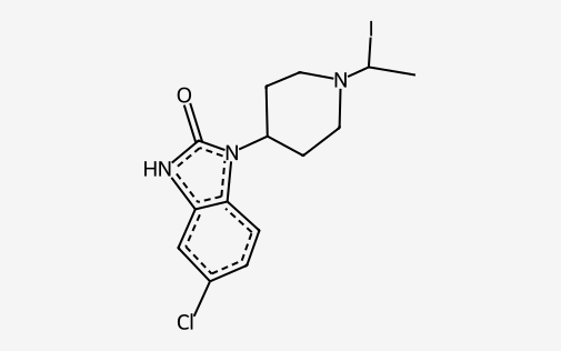 CC(I)N1CCC(n2c(=O)[nH]c3cc(Cl)ccc32)CC1